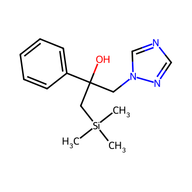 C[Si](C)(C)CC(O)(Cn1cncn1)c1ccccc1